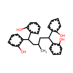 CC(CC(c1ccccc1O)c1ccccc1O)CC(c1ccccc1O)c1ccccc1O